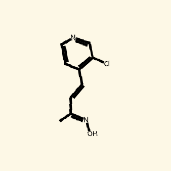 CC(C=Cc1ccncc1Cl)=NO